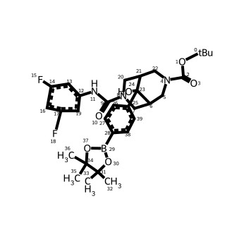 CC(C)(C)OC(=O)N1CC2CN(C(=O)Nc3cc(F)cc(F)c3)CC(C1)C2(O)c1ccc(B2OC(C)(C)C(C)(C)O2)cc1